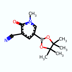 Cn1cc(B2OC(C)(C)C(C)(C)O2)cc(C#N)c1=O